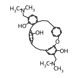 CN(C)Cc1cc2cc(c1O)Oc1ccc(cc1)CCc1ccc(CN(C)C)c(O)c1-c1ccc(cc1O)CC2